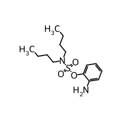 CCCCN(CCCC)S(=O)(=O)Oc1ccccc1N